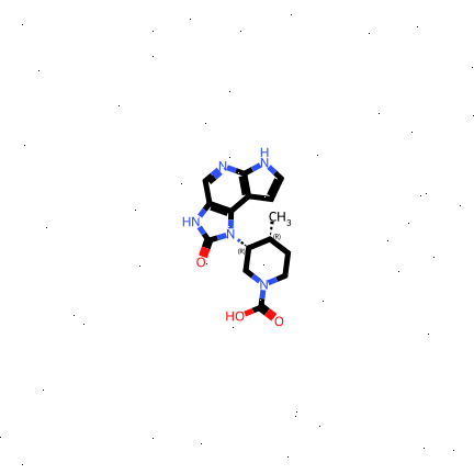 C[C@@H]1CCN(C(=O)O)C[C@@H]1n1c(=O)[nH]c2cnc3[nH]ccc3c21